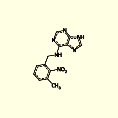 Cc1cccc(CNc2ncnc3[nH]cnc23)c1[N+](=O)[O-]